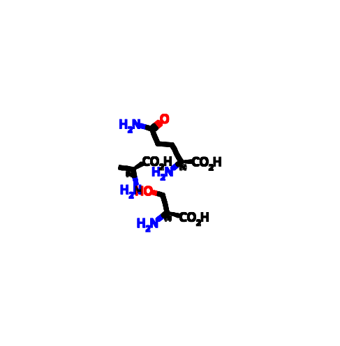 C[C@H](N)C(=O)O.NC(=O)CC[C@H](N)C(=O)O.N[C@@H](CO)C(=O)O